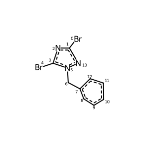 Brc1nc(Br)n(Cc2ccccc2)n1